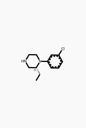 CC[C@@H]1CNCCN1c1cccc(Cl)c1